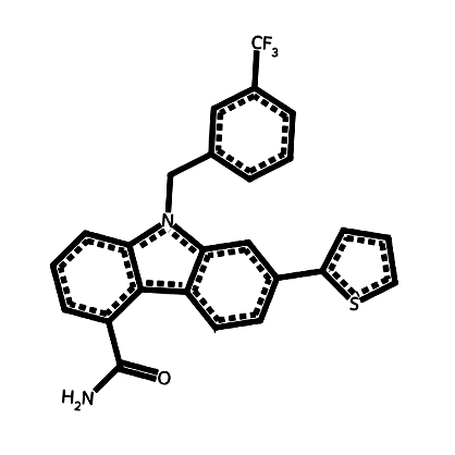 NC(=O)c1cccc2c1c1[c]cc(-c3cccs3)cc1n2Cc1cccc(C(F)(F)F)c1